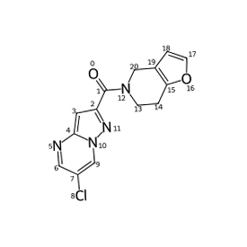 O=C(c1cc2ncc(Cl)cn2n1)N1CCc2occc2C1